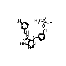 CS(=O)(=O)O.Nc1cccc(CNc2n[nH]c3ncnc(Nc4cccc(Cl)c4)c23)c1